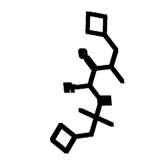 CC(CC1CCC1)C(=O)C(NC(C)(C)CC1CCC1)C(C)C